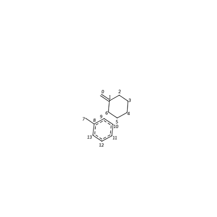 C=C1CCCCC1.Cc1ccccc1